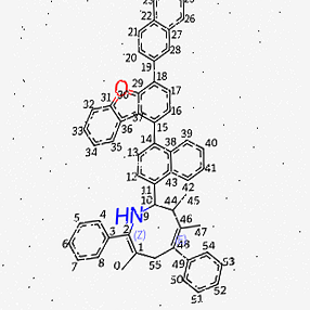 C/C1=C(\c2ccccc2)NC(c2ccc(-c3ccc(-c4ccc5ccccc5c4)c4oc5ccccc5c34)c3ccccc23)C(C)/C(C)=C(/c2ccccc2)C1